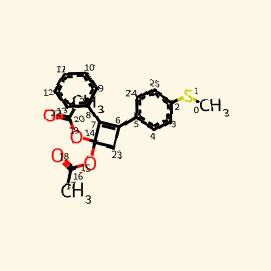 CSc1ccc(C2=C(c3ccccc3)C(OC(C)=O)(OC(C)=O)C2)cc1